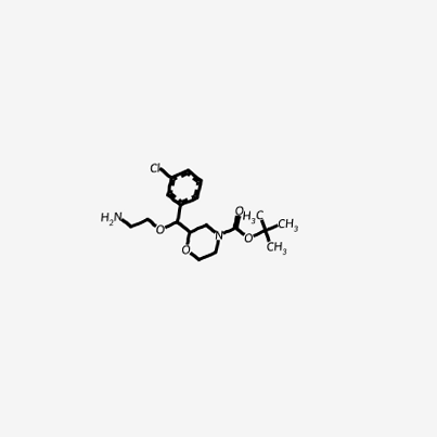 CC(C)(C)OC(=O)N1CCOC(C(OCCN)c2cccc(Cl)c2)C1